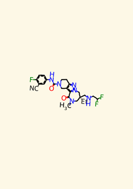 CC[C@]1(CNCC(F)F)CN(C)C(=O)c2c3c(nn2C1)CCN(C(=O)Nc1ccc(F)c(C#N)c1)C3